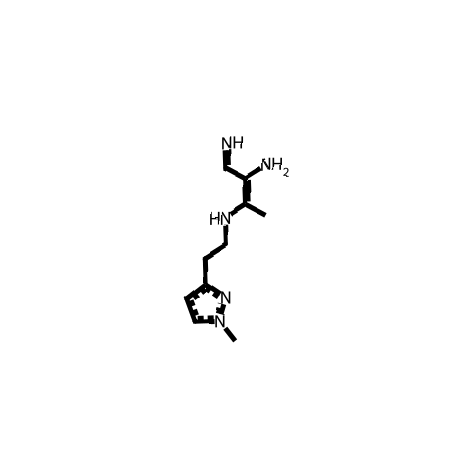 C/C(NCCc1ccn(C)n1)=C(\N)C=N